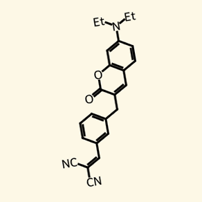 CCN(CC)c1ccc2cc(Cc3cccc(C=C(C#N)C#N)c3)c(=O)oc2c1